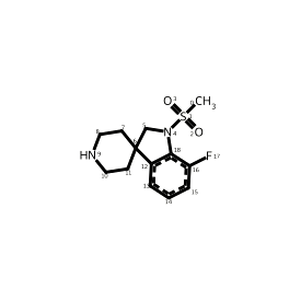 CS(=O)(=O)N1CC2(CCNCC2)c2cccc(F)c21